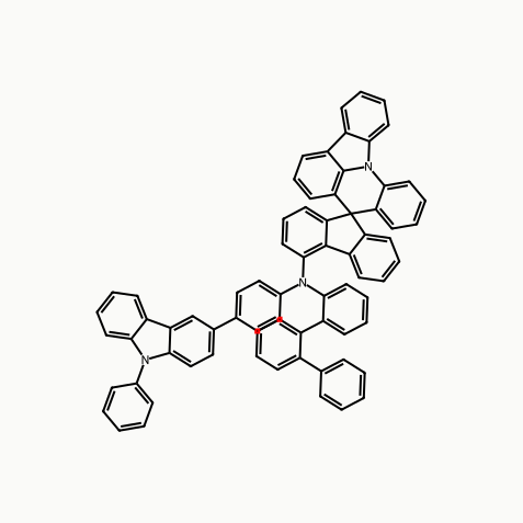 c1ccc(-c2ccccc2-c2ccccc2N(c2ccc(-c3ccc4c(c3)c3ccccc3n4-c3ccccc3)cc2)c2cccc3c2-c2ccccc2C32c3ccccc3-n3c4ccccc4c4cccc2c43)cc1